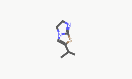 CC(C)C1=CN2CCN=C2S1